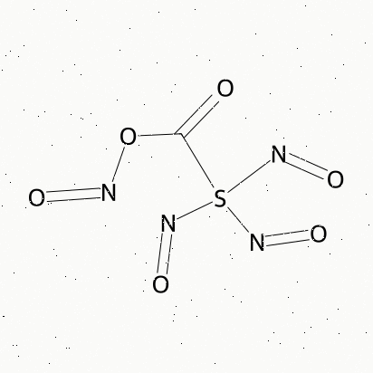 O=NOC(=O)S(N=O)(N=O)N=O